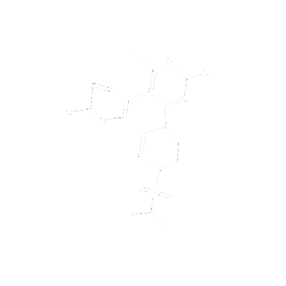 Cc1nc(N)nc(-c2ccc(S(=O)(=O)C(C)C)cc2)c1-c1ccc(N)nc1